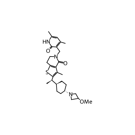 COC1CN([C@H]2CC[C@H]([C@@H](C)c3sc4c(c3C)C(=O)N(Cc3c(C)cc(C)[nH]c3=O)CC4)CC2)C1